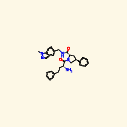 Cn1ncc2cc(CNC(=O)[C@@H]3C[C@@H](c4ccccc4)CN3C(=O)[C@H](N)CCc3ccccc3)ccc21